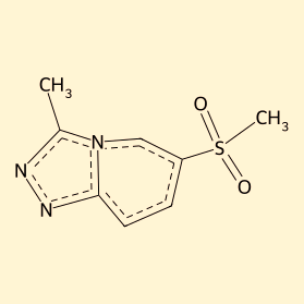 Cc1nnc2ccc(S(C)(=O)=O)cn12